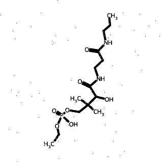 CCCNC(=O)CCNC(=O)C(O)C(C)(C)COP(=O)(O)OCC